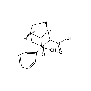 CC(c1ccccc1)C1[C@H]2CC[N@@]1C(C(=O)O)C(=O)C2